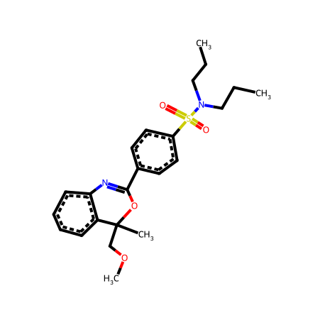 CCCN(CCC)S(=O)(=O)c1ccc(C2=Nc3ccccc3C(C)(COC)O2)cc1